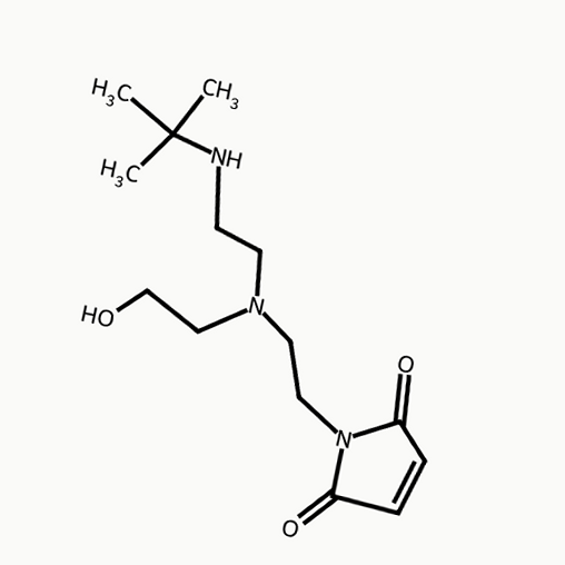 CC(C)(C)NCCN(CCO)CCN1C(=O)C=CC1=O